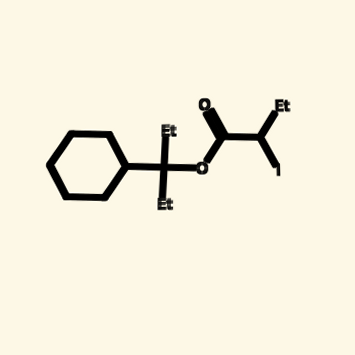 CCC(I)C(=O)OC(CC)(CC)C1CCCCC1